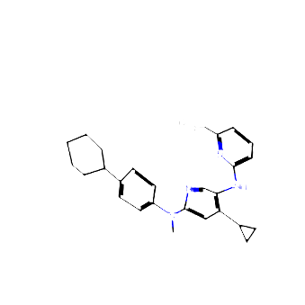 CN(c1ccc(C2CCCCC2)cc1)c1cc(C2CC2)c(Nc2cccc(C(=O)O)n2)cn1